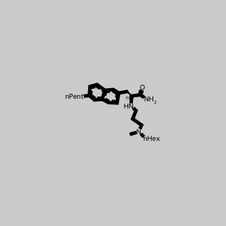 CCCCCCN(C)CCCN[C@@H](Cc1ccc2cc(CCCCC)ccc2c1)C(N)=O